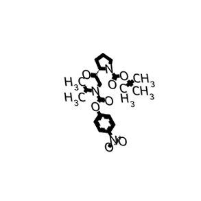 CC(C)N(CC(=O)[C@@H]1CCCN1C(=O)OC(C)(C)C)C(=O)Oc1ccc([N+](=O)[O-])cc1